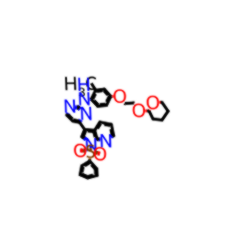 Cc1cc(OCCOC2CCCCO2)ccc1Nc1nccc(-c2cn(S(=O)(=O)c3ccccc3)c3ncccc23)n1